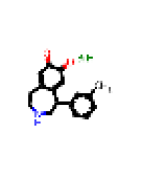 Br.Cc1cccc(C2CNCCC3=CC(=O)C(=O)C=C32)c1